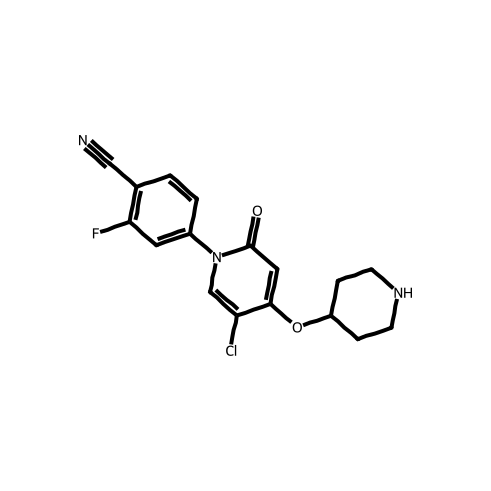 N#Cc1ccc(-n2cc(Cl)c(OC3CCNCC3)cc2=O)cc1F